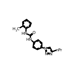 CCCc1cn(-c2ccc(NC(=O)Nc3ccccc3C)cc2)nn1